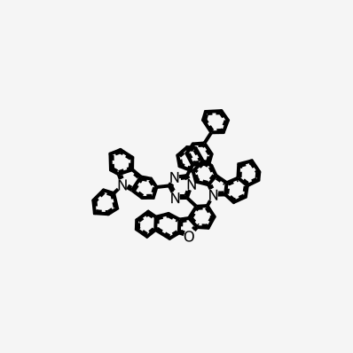 c1ccc(-c2ccc(-c3nc(-c4ccc5c(c4)c4ccccc4n5-c4ccccc4)nc(-c4c(-n5c6cc7ccccc7cc6c6c7ccccc7ccc65)ccc5oc6cc7ccccc7cc6c45)n3)cc2)cc1